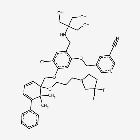 CC1(C)C(c2ccccc2)=CC=CC1(COc1cc(OCc2cncc(C#N)c2)c(CNC(CO)(CO)CO)cc1Cl)OCCCN1CCC(F)(F)C1